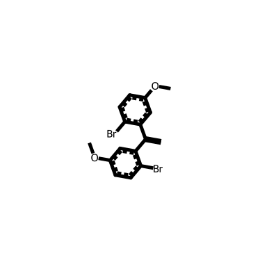 C=C(c1cc(OC)ccc1Br)c1cc(OC)ccc1Br